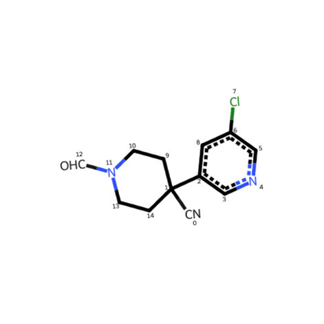 N#CC1(c2cncc(Cl)c2)CCN(C=O)CC1